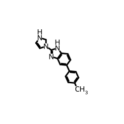 Cc1ccc(-c2ccc3[nH]c(N4C=CNC4)nc3c2)cc1